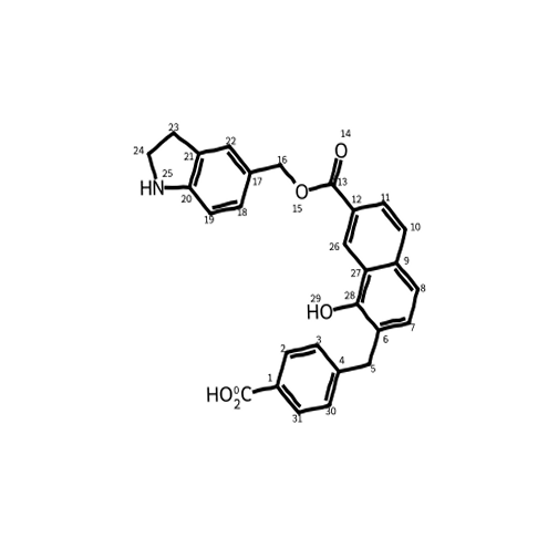 O=C(O)c1ccc(Cc2ccc3ccc(C(=O)OCc4ccc5c(c4)CCN5)cc3c2O)cc1